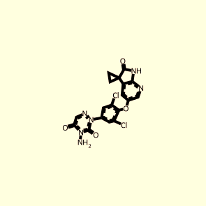 Nn1c(=O)cnn(-c2cc(Cl)c(Oc3cnc4c(c3)C3(CC3)C(=O)N4)c(Cl)c2)c1=O